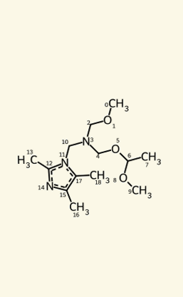 COCN(COC(C)OC)Cn1c(C)nc(C)c1C